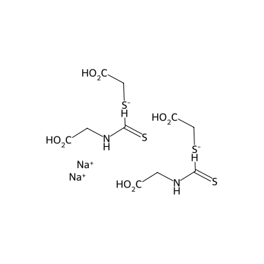 O=C(O)CNC(=S)[SH-]CC(=O)O.O=C(O)CNC(=S)[SH-]CC(=O)O.[Na+].[Na+]